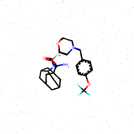 NC(=O)C12CC3CC(C1)C(NC(=O)[C@H]1CN(Cc4ccc(OC(F)(F)F)cc4)CCO1)C(C3)C2